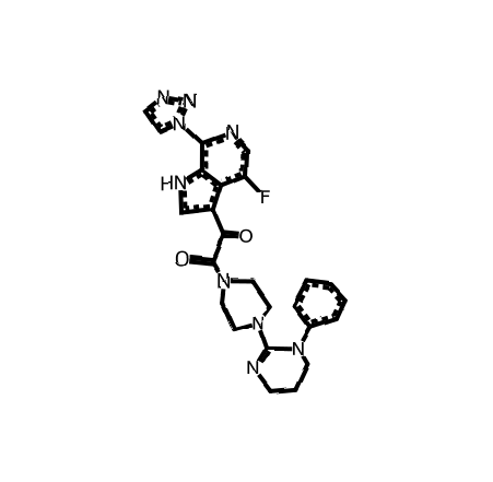 O=C(C(=O)N1CCN(C2=NCCCN2c2ccccc2)CC1)c1c[nH]c2c(-n3ccnn3)ncc(F)c12